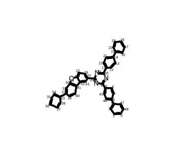 c1ccc(-c2ccc(-c3nc(-c4ccc(-c5ccccc5)cc4)nc(-c4ccc5oc6cc(-c7ccccc7)ccc6c5c4)n3)cc2)cc1